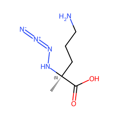 C[C@@](CCCN)(NN=[N+]=[N-])C(=O)O